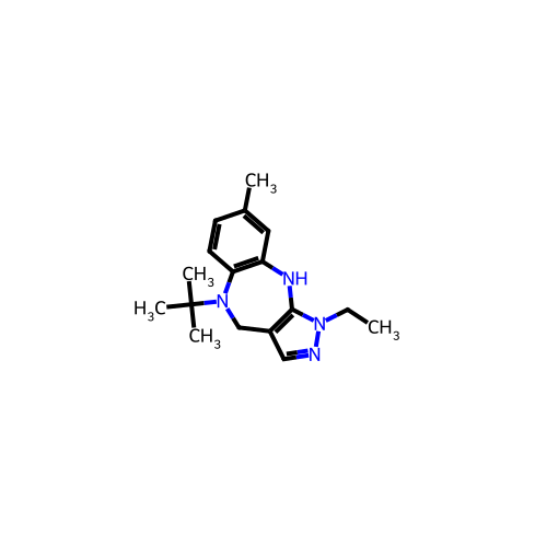 CCn1ncc2c1Nc1cc(C)ccc1N(C(C)(C)C)C2